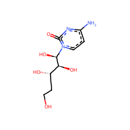 Nc1ccn([C@H](O)[C@@H](O)[C@@H](O)CCO)c(=O)n1